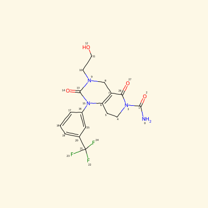 NC(=O)N1CCC2=C(CN(CCO)C(=O)N2c2cccc(C(F)(F)F)c2)C1=O